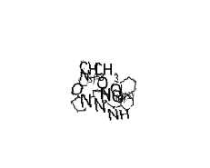 C[C@H](Oc1cc(N2CCCC2=O)nc(C(=N)C2CCC[C@@]3(CCCCC3=O)[C@@H]2O)n1)[C@@H]1CCCN1C